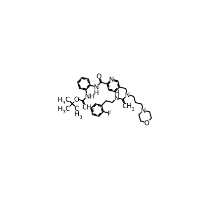 C=C(Nc1ccccc1NC(=O)c1ccc(CN(CCCN2CCOCC2)C(=C)NCCc2ccccc2F)cn1)OC(C)(C)C